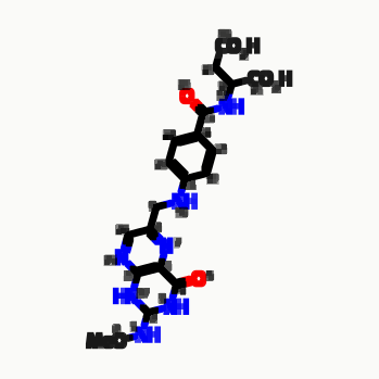 CONC1NC(=O)c2nc(CNc3ccc(C(=O)NC(CC(=O)O)C(=O)O)cc3)cnc2N1